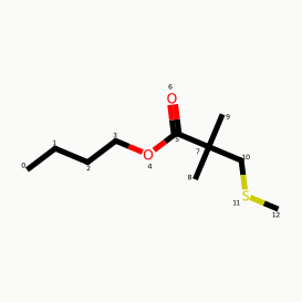 CCCCOC(=O)C(C)(C)CSC